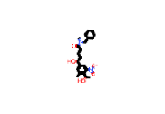 Cc1cc(C(O)CCCC(=O)N(C)Cc2ccccc2)cc([N+](=O)[O-])c1C(C)O